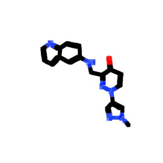 Cn1cc(-n2ccc(=O)c(CNc3ccc4ncccc4c3)n2)cn1